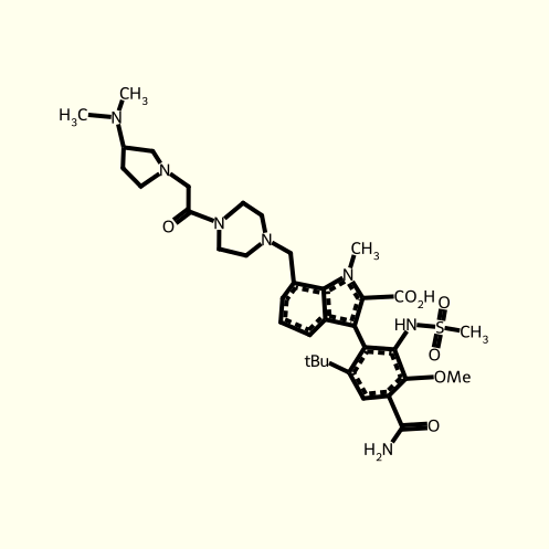 COc1c(C(N)=O)cc(C(C)(C)C)c(-c2c(C(=O)O)n(C)c3c(CN4CCN(C(=O)CN5CCC(N(C)C)C5)CC4)cccc23)c1NS(C)(=O)=O